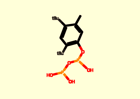 Cc1cc(OP(O)OP(O)O)c(C(C)(C)C)cc1C(C)(C)C